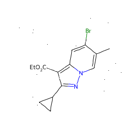 CCOC(=O)c1c(C2CC2)nn2cc(C)c(Br)cc12